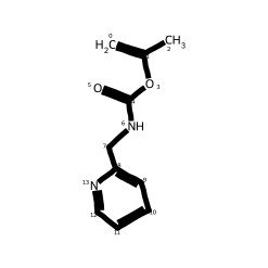 C=C(C)OC(=O)NCc1ccccn1